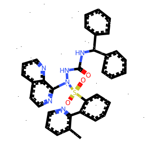 Cc1cccnc1-c1ccccc1S(=O)(=O)N(NC(=O)NC(c1ccccc1)c1ccccc1)c1nccc2cccnc12